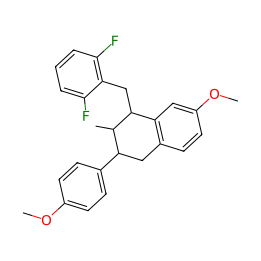 COc1ccc(C2Cc3ccc(OC)cc3C(Cc3c(F)cccc3F)C2C)cc1